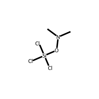 CN(C)O[Si](Cl)(Cl)Cl